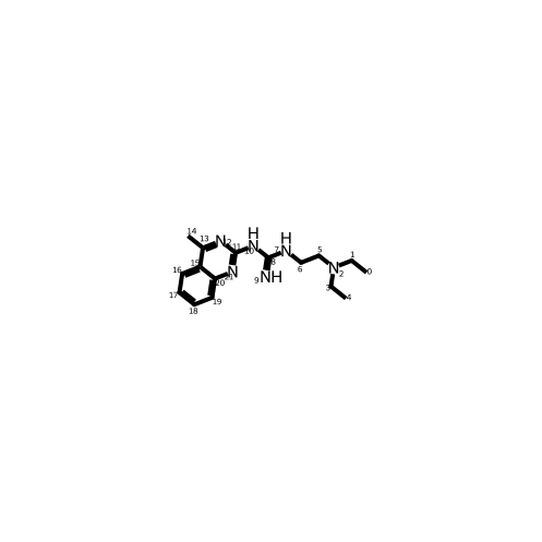 CCN(CC)CCNC(=N)Nc1nc(C)c2ccccc2n1